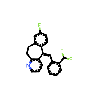 Fc1ccc2c(c1)CCc1ncccc1/C2=C\c1ccccc1C(F)F